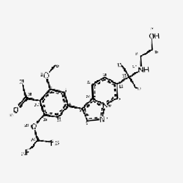 COc1cc(-c2cnn3cc(C(C)(C)NCCO)ccc23)cc(OC(F)F)c1C(C)=O